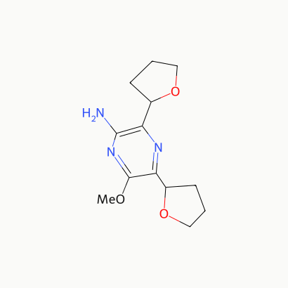 COc1nc(N)c(C2CCCO2)nc1C1CCCO1